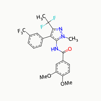 COc1ccc(C(=O)Nc2c(-c3cccc(C(F)(F)F)c3)c(C(C)(F)F)nn2C)cc1OC